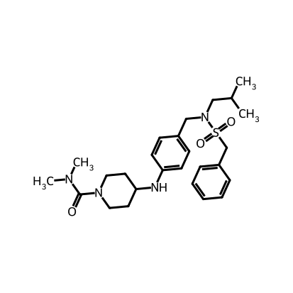 CC(C)CN(Cc1ccc(NC2CCN(C(=O)N(C)C)CC2)cc1)S(=O)(=O)Cc1ccccc1